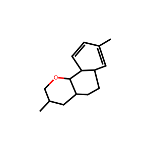 CC1=CC2CCC3CC(C)COC3C2C=C1